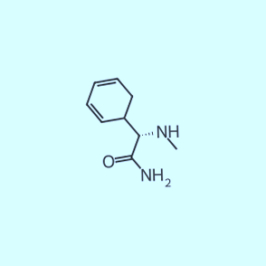 CN[C@H](C(N)=O)C1C=CC=CC1